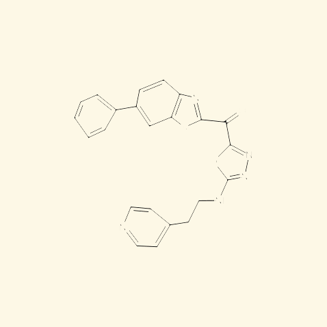 O=C(c1nnc(NCCc2ccncc2)o1)c1nc2ccc(-c3ccccc3)cc2s1